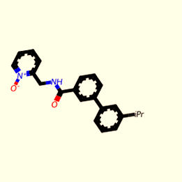 CC(C)c1cccc(-c2cccc(C(=O)NCc3cccc[n+]3[O-])c2)c1